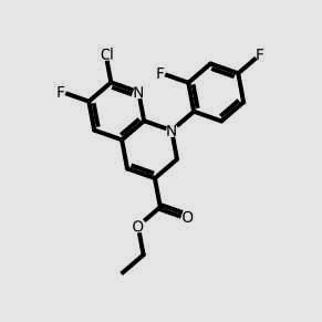 CCOC(=O)C1=Cc2cc(F)c(Cl)nc2N(c2ccc(F)cc2F)C1